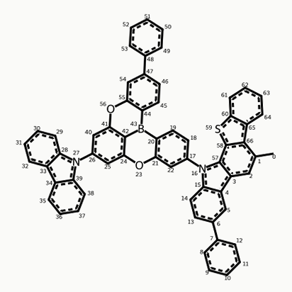 Cc1cc2c3cc(-c4ccccc4)ccc3n(-c3ccc4c(c3)Oc3cc(-n5c6ccccc6c6ccccc65)cc5c3B4c3ccc(-c4ccccc4)cc3O5)c2c2sc3ccccc3c12